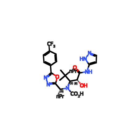 CCC[C@H](c1nnc(-c2ccc(C(F)(F)F)cc2)o1)N(C(=O)O)[C@H]([C@@H](O)C(=O)Nc1ccn[nH]1)C(C)(C)CCC